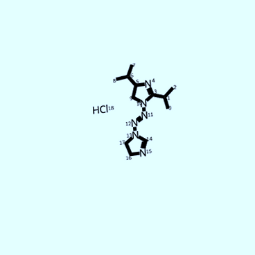 CC(C)C1=NC(C(C)C)CN1N=NN1C=NCC1.Cl